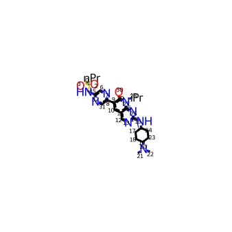 CCCS(=O)(=O)Nc1cnc(-c2cc3cnc(NC4CCC(N(C)C)CC4)nc3n(C(C)C)c2=O)cn1